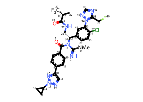 CNC(=N)N(C(=O)c1ccc(-c2cnn(C3CC3)n2)cc1)[C@H](CNC(=O)[C@H](C)C(F)(F)F)c1ccc(Cl)c(-n2ncnc2CF)c1